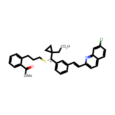 COC(=O)c1ccccc1CCCS[C@@H](c1cccc(C=Cc2ccc3ccc(Cl)cc3n2)c1)C1(CC(=O)O)CC1